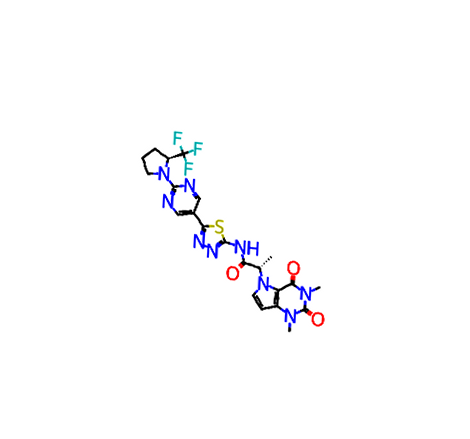 C[C@@H](C(=O)Nc1nnc(-c2cnc(N3CCC[C@H]3C(F)(F)F)nc2)s1)n1ccc2c1c(=O)n(C)c(=O)n2C